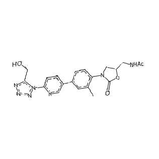 CC(=O)NCC1CN(c2ccc(-c3ccc(-n4nnnc4CO)nc3)cc2C)C(=O)O1